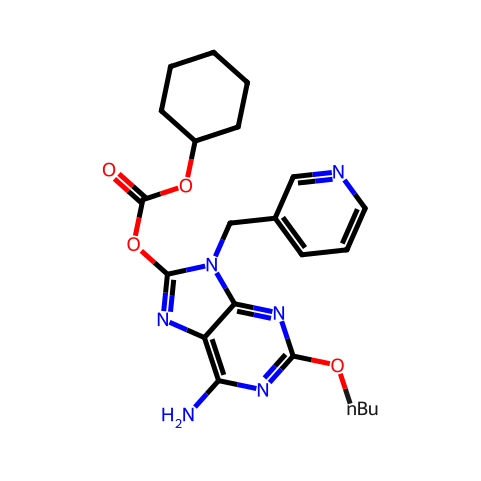 CCCCOc1nc(N)c2nc(OC(=O)OC3CCCCC3)n(Cc3cccnc3)c2n1